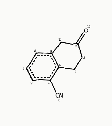 N#Cc1cccc2c1CCC(=O)C2